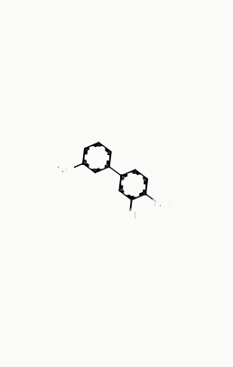 Cc1cc(-c2cccc(C#N)c2)ccc1N